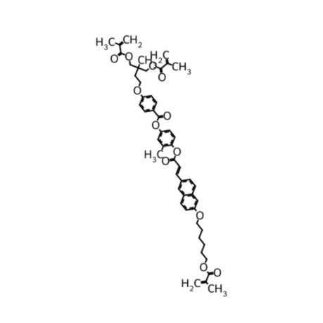 C=C(C)C(=O)OCCCCCCOc1ccc2cc(/C=C/C(=O)Oc3ccc(OC(=O)c4ccc(OCCC(C)(COC(=O)C(=C)C)COC(=O)C(=C)C)cc4)cc3C)ccc2c1